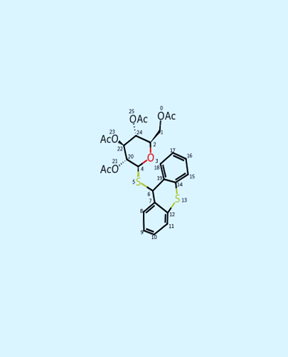 CC(=O)OC[C@H]1O[C@@H](SC2c3ccccc3Sc3ccccc32)[C@H](OC(C)=O)[C@@H](OC(C)=O)[C@@H]1OC(C)=O